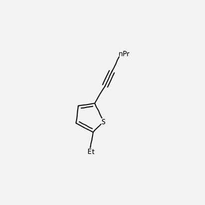 CCCC#Cc1ccc(CC)s1